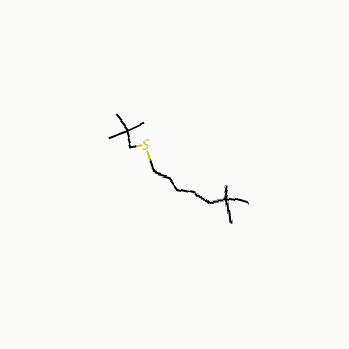 CC(C)(C)CCCCCSCC(C)(C)C